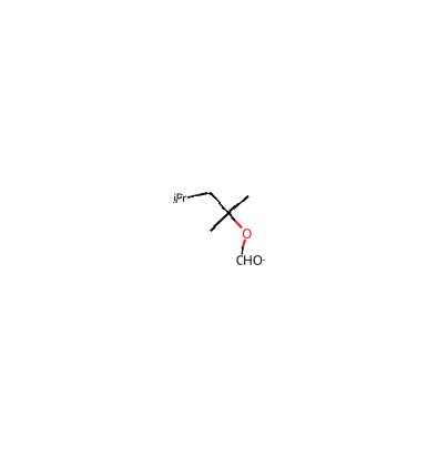 CC(C)CC(C)(C)O[C]=O